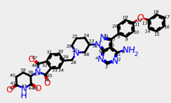 Nc1ncnc2c1c(-c1ccc(Oc3ccccc3)cc1)nn2C1CCCN(Cc2ccc3c(c2)C(=O)N(C2CCC(=O)NC2=O)C3=O)C1